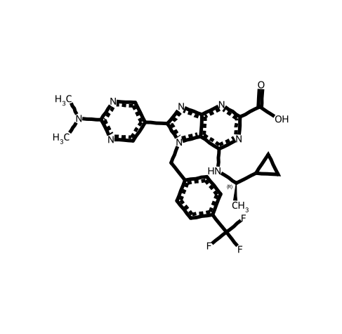 C[C@@H](Nc1nc(C(=O)O)nc2nc(-c3cnc(N(C)C)nc3)n(Cc3ccc(C(F)(F)F)cc3)c12)C1CC1